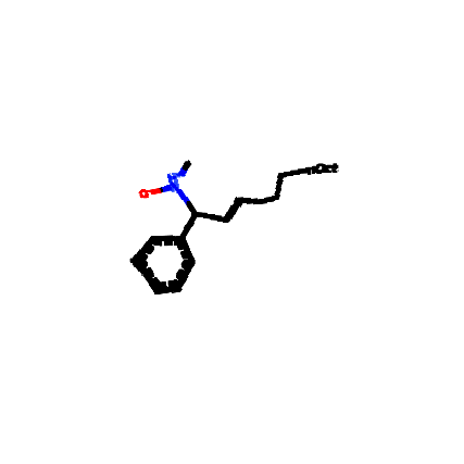 CCCCCCCCCCCCC(c1ccccc1)[NH+](C)[O-]